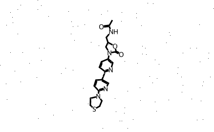 CC(=O)NCC1CN(c2ccc(-c3ccc(N4CCSCC4)nc3)nc2)C(=O)O1